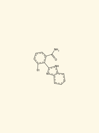 CCc1cccc(C(N)=O)c1-c1nc2ccccc2[nH]1